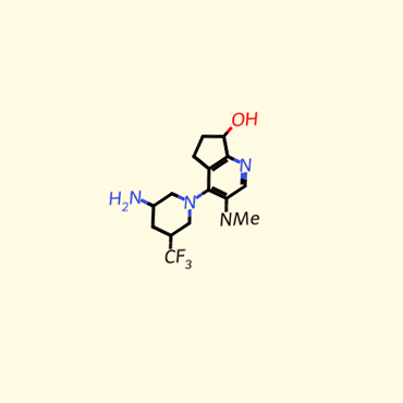 CNc1cnc2c(c1N1CC(N)CC(C(F)(F)F)C1)CCC2O